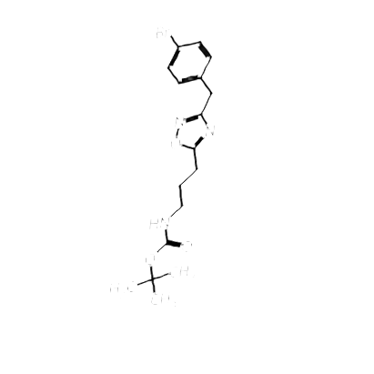 CC(C)(C)OC(=O)NCCCc1nc(Cc2ccc(Br)cc2)no1